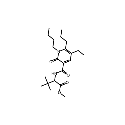 CCCCn1c(CCC)c(CC)cc(C(=O)NC(C(=O)OC)C(C)(C)C)c1=O